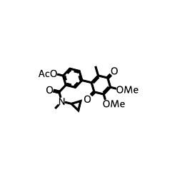 COC1=C(OC)C(=O)C(c2ccc(OC(C)=O)c(C(=O)N(C)C3CC3)c2)=C(C)C1=O